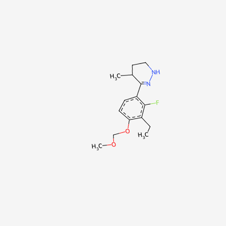 CCc1c(OCOC)ccc(C2=NNCCC2C)c1F